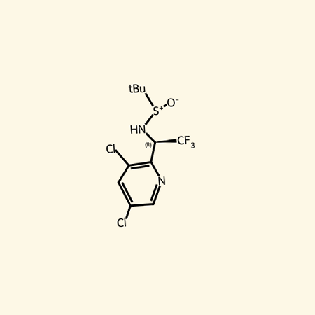 CC(C)(C)[S+]([O-])N[C@H](c1ncc(Cl)cc1Cl)C(F)(F)F